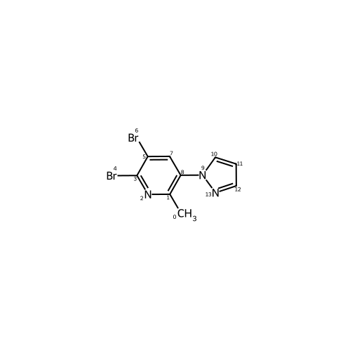 Cc1nc(Br)c(Br)cc1-n1cccn1